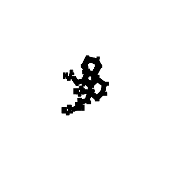 CCn1c2c(c3ccccc31)CCCC2(C)CCNC